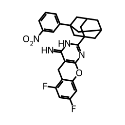 N=c1[nH]c(C23CC4CC(CC(c5cccc([N+](=O)[O-])c5)(C4)C2)C3)nc2c1Cc1c(F)cc(F)cc1O2